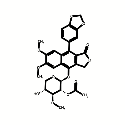 COc1cc2c(O[C@@H]3OC[C@@H](O)[C@H](OC)[C@H]3OC(C)=O)c3c(c(-c4ccc5c(c4)OCO5)c2cc1OC)C(=O)OC3